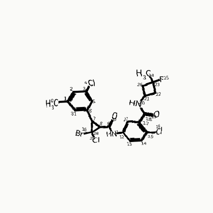 Cc1cc(Cl)cc(C2C(C(=O)Nc3ccc(Cl)c(C(=O)NC4CC(C)(F)C4)c3)C2(Cl)Br)c1